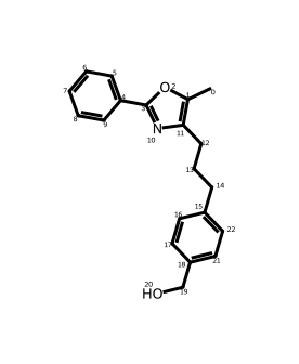 Cc1oc(-c2ccccc2)nc1CCCc1ccc(CO)cc1